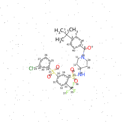 CC(C)(C)c1ccc(C(=O)N2CCC(NS(=O)(=O)c3cc(S(=O)(=O)c4cccc(Cl)c4)ccc3C(F)(F)F)CC2)cc1